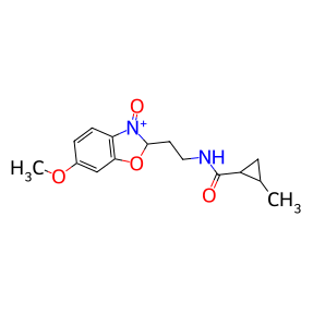 COc1ccc2c(c1)OC(CCNC(=O)C1CC1C)[N+]2=O